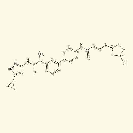 CC(C(=O)Nc1cc(C2CC2)[nH]n1)c1cccc(-c2ccc(NC(=O)/C=C/CN3CCC(C(F)(F)F)C3)nc2)c1